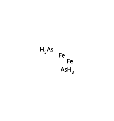 [AsH3].[AsH3].[Fe].[Fe]